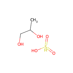 CC(O)CO.O=[SH](=O)O